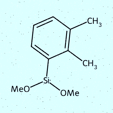 CO[Si](OC)c1cccc(C)c1C